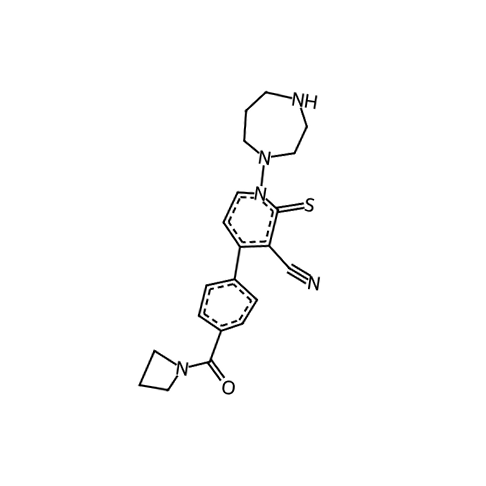 N#Cc1c(-c2ccc(C(=O)N3CCC3)cc2)ccn(N2CCCNCC2)c1=S